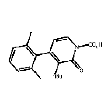 CCCCc1c(-c2c(C)cccc2C)ccn(C(=O)O)c1=O